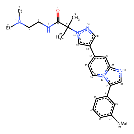 CCN(CC)CCNC(=O)C(C)(C)n1cc(-c2ccn3c(-c4cccc(NC)c4)cnc3c2)cn1